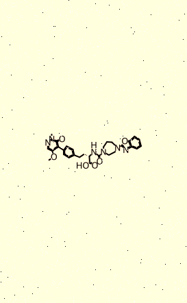 COc1cnn(C)c(=O)c1-c1ccc(CC[C@H](NC(=O)N2CCCN(c3nc4ccccc4o3)CC2)C(=O)O)cc1